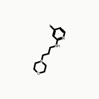 Ic1ccnc(NCCCN2CCOCC2)c1